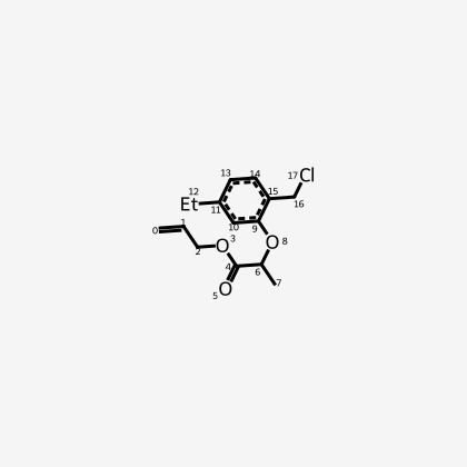 C=CCOC(=O)C(C)Oc1cc(CC)ccc1CCl